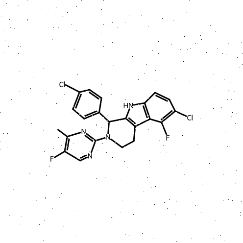 Cc1nc(N2CCc3c([nH]c4ccc(Cl)c(F)c34)C2c2ccc(Cl)cc2)ncc1F